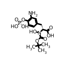 CC(C)(C)OC(=O)N(O)[C@H](Cc1ccc(OP(=O)(O)O)c(N)c1)C(=O)O